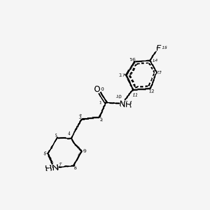 O=C(CCC1CCNCC1)Nc1ccc(F)cc1